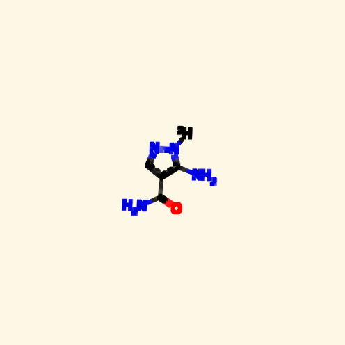 [2H]n1ncc(C(N)=O)c1N